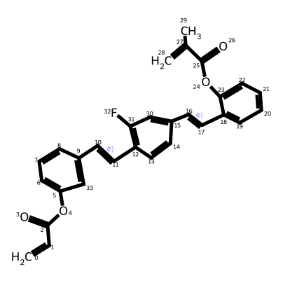 C=CC(=O)Oc1cccc(/C=C/c2ccc(/C=C/c3ccccc3OC(=O)C(=C)C)cc2F)c1